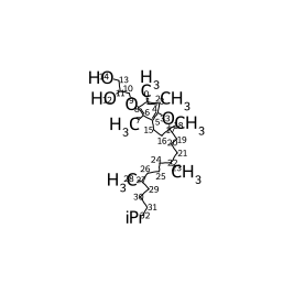 Cc1c(C)c2c(c(C)c1OCC(O)CO)CCC(C)(CCCC(C)CCCC(C)CCCC(C)C)O2